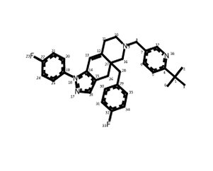 CC(C)(C)c1ccc(CN2CCC3=Cc4c(cnn4-c4ccc(F)cc4)CC3(Cc3ccc(F)cc3)C2)cn1